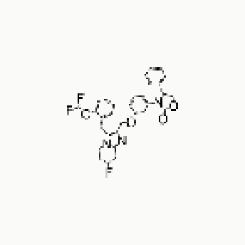 O=C1OCC(c2ccccc2)N1c1cccc(OCc2nc3n(c2Cc2ccccc2OC(F)F)CCC(F)C3)c1